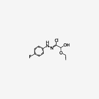 CCOC(O)/C(Cl)=N/Nc1ccc(F)cc1